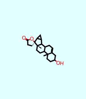 CC12CCC(O)CC1=CCC1C2CC[C@@]2(C)C1C1CC1[C@@]21CCC(=O)O1